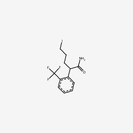 NC(=O)C(CCCI)c1ccccc1C(F)(F)F